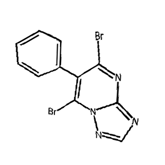 Brc1nc2ncnn2c(Br)c1-c1ccccc1